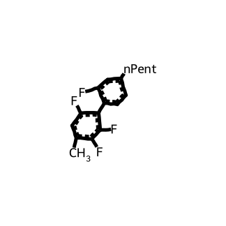 CCCCCc1ccc(-c2c(F)cc(C)c(F)c2F)c(F)c1